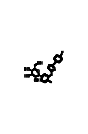 Cc1ccc([C@H]2O[C@H](CO)[C@@H](O)[C@H](O)[C@H]2O)cc1Cc1ccc(-c2ccc(F)cc2)s1